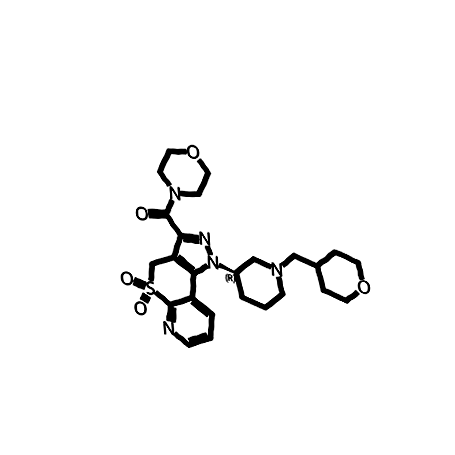 O=C(c1nn([C@@H]2CCCN(CC3CCOCC3)C2)c2c1CS(=O)(=O)c1ncccc1-2)N1CCOCC1